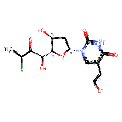 CC(Cl)C(=O)C(O)[C@H]1O[C@@H](n2cc(/C=C/Br)c(=O)[nH]c2=O)C[C@@H]1O